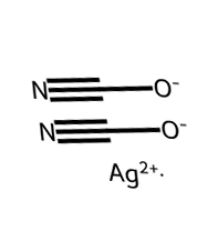 N#C[O-].N#C[O-].[Ag+2]